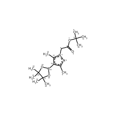 Cc1nn(CC(=O)OC(C)(C)C)c(C)c1B1OC(C)(C)C(C)(C)O1